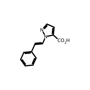 O=C(O)c1ccnn1C=Cc1ccccc1